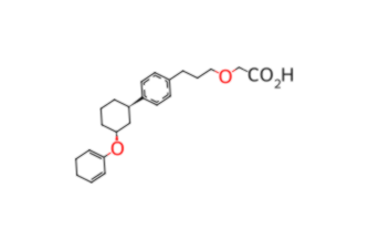 O=C(O)COCCCc1ccc([C@@H]2CCC[C@H](OC3=CCCC=C3)C2)cc1